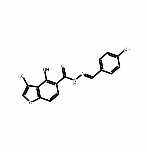 Cc1coc2ccc(C(=O)N/N=C/c3ccc(O)cc3)c(O)c12